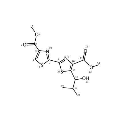 COC(=O)c1csc(-c2nc(C(=O)OC)c(C(O)C(C)C)s2)n1